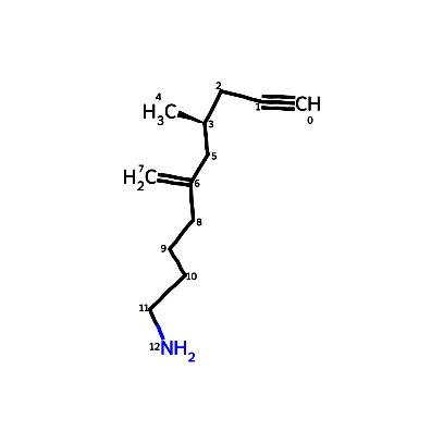 C#CC[C@H](C)CC(=C)CCCCN